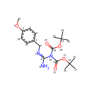 COc1ccc(CN=C(N)N(C(=O)OC(C)(C)C)C(=O)OC(C)(C)C)cc1